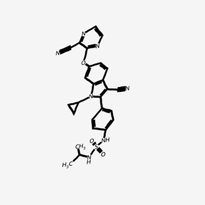 CC(C)NS(=O)(=O)Nc1ccc(-c2c(C#N)c3ccc(Oc4nccnc4C#N)cc3n2C2CC2)cc1